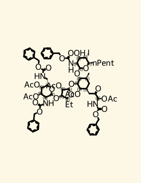 CCCCC[C@H]1O[C@H](O[C@H]2[C@H](O[C@@H]3O[C@H](CC)[C@@H](O[C@H]4O[C@@H](CNC(=O)OCc5ccccc5)[C@@H](OC(C)=O)[C@H](OC(C)=O)[C@H]4NC(=O)OCc4ccccc4)[C@H]3OC(C)=O)[C@@H](OC(C)=O)[C@H](CC(=O)[C@H](NC(=O)OCc3ccccc3)OC(C)=O)C[C@@H]2C)[C@H](NC(=O)OCc2ccccc2)[C@@H](O)[C@@H]1I